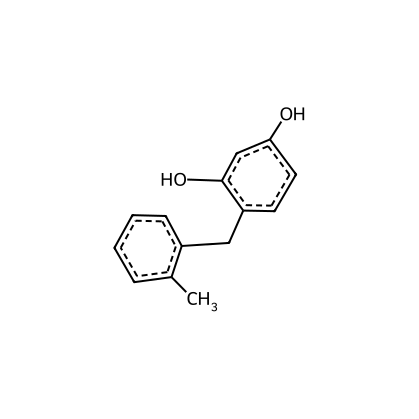 Cc1ccccc1Cc1ccc(O)cc1O